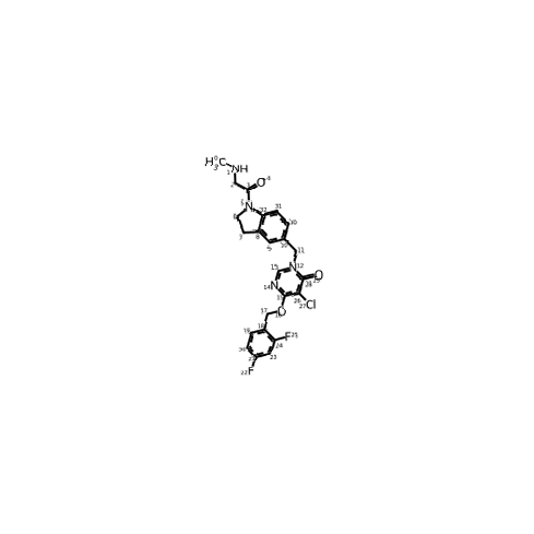 CNCC(=O)N1CCc2cc(Cn3cnc(OCc4ccc(F)cc4F)c(Cl)c3=O)ccc21